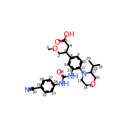 COCC(CC(=O)O)c1ccc(N2CCOCC2C(C)C)c(NC(=O)Nc2ccc(C#N)cc2)c1